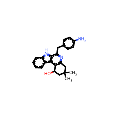 CC1(C)Cc2nc(Cc3ccc(N)cc3)c3[nH]c4ccccc4c3c2C(O)C1